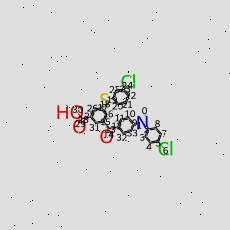 CN(c1ccc(Cl)cc1)c1ccc(C(=O)c2cc(Sc3cccc(Cl)c3)cc(C(=O)O)c2)cc1